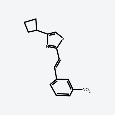 O=[N+]([O-])c1cccc(C=Cc2nc(C3CCC3)cs2)c1